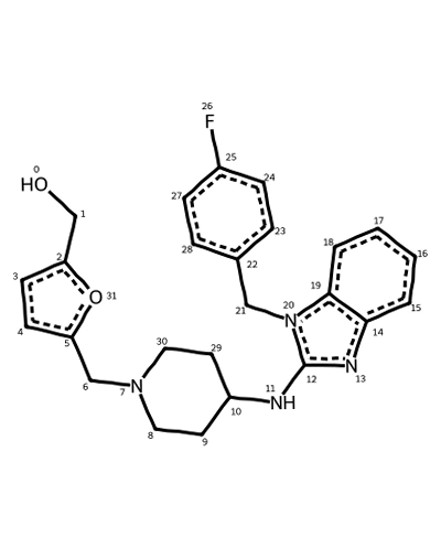 OCc1ccc(CN2CCC(Nc3nc4ccccc4n3Cc3ccc(F)cc3)CC2)o1